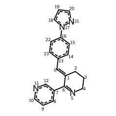 C(=C1CCCN=C1c1cccnc1)c1ccc(-n2cccn2)cc1